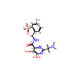 CN(C)C(C)(C)c1nc(O)c(O)c(C(=O)NCc2ccc(F)cc2S(C)(=O)=O)n1